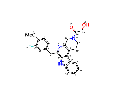 COc1ccc(Cc2nc3c(c4c2[nH]c2ccccc24)CCN(C(=O)CO)C3)cc1F